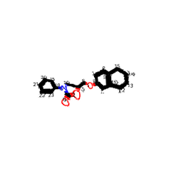 O=C1OC(COc2ccc3c(c2)CCCC3)CN1c1ccccc1